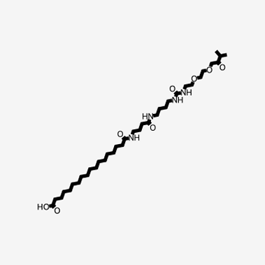 CC(C)C(=O)COCCOCCNC(=O)NCCCCNC(=O)CCCNC(=O)CCCCCCCCCCCCCCCCC(=O)O